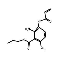 C=CC(=O)Oc1ccc(N)c(C(=O)OCCC)c1N